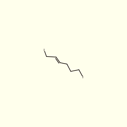 ICC=CCCCI